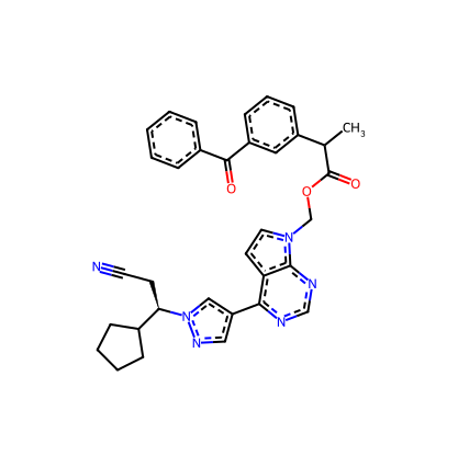 CC(C(=O)OCn1ccc2c(-c3cnn([C@H](CC#N)C4CCCC4)c3)ncnc21)c1cccc(C(=O)c2ccccc2)c1